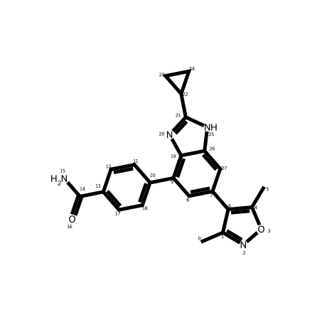 Cc1noc(C)c1-c1cc(-c2ccc(C(N)=O)cc2)c2nc(C3CC3)[nH]c2c1